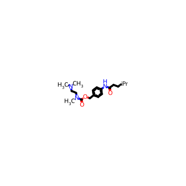 CC(C)CCC(=O)Nc1ccc(COC(=O)N(C)CCN(C)C)cc1